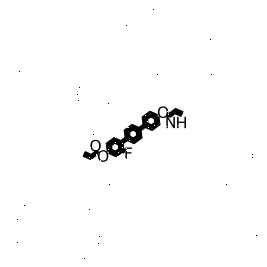 C=CC(=N)Oc1ccc(-c2ccc(-c3ccc(OC(=O)C=C)cc3F)cc2)cc1